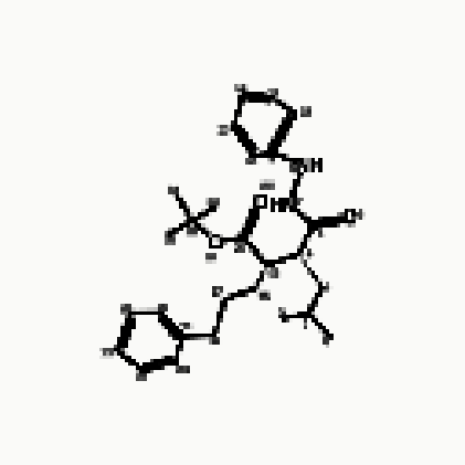 CC(C)C[C@@H](C(=O)NNc1ccccc1)[C@H](CCCc1ccccc1)C(=O)OC(C)(C)C